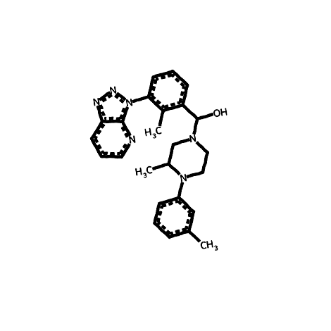 Cc1cccc(N2CCN(C(O)c3cccc(-n4nnc5cccnc54)c3C)CC2C)c1